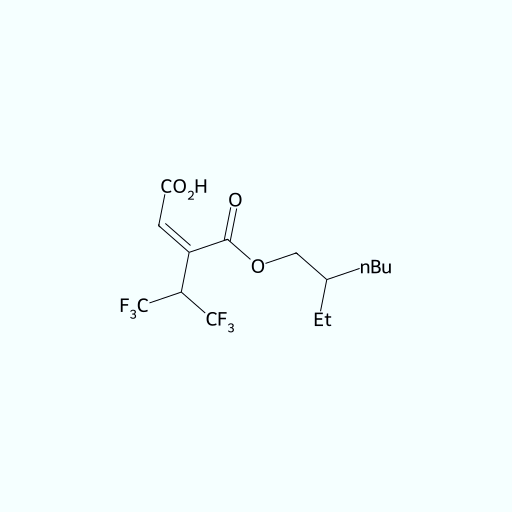 CCCCC(CC)COC(=O)/C(=C\C(=O)O)C(C(F)(F)F)C(F)(F)F